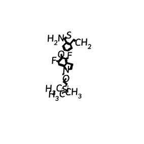 C=Cc1ccc(Oc2c(F)cc3c(ccn3COCC[Si](C)(C)C)c2F)cc1C(N)=S